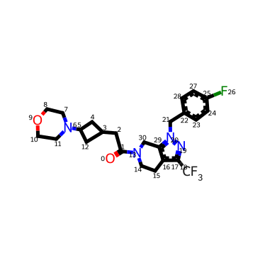 O=C(CC1CC(N2CCOCC2)C1)N1CCc2c(C(F)(F)F)nn(Cc3ccc(F)cc3)c2C1